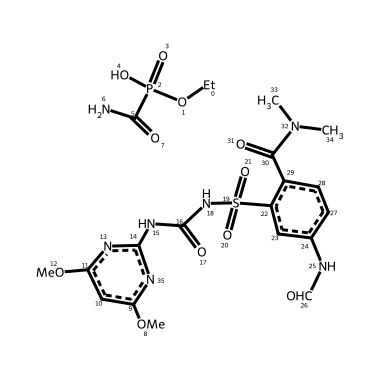 CCOP(=O)(O)C(N)=O.COc1cc(OC)nc(NC(=O)NS(=O)(=O)c2cc(NC=O)ccc2C(=O)N(C)C)n1